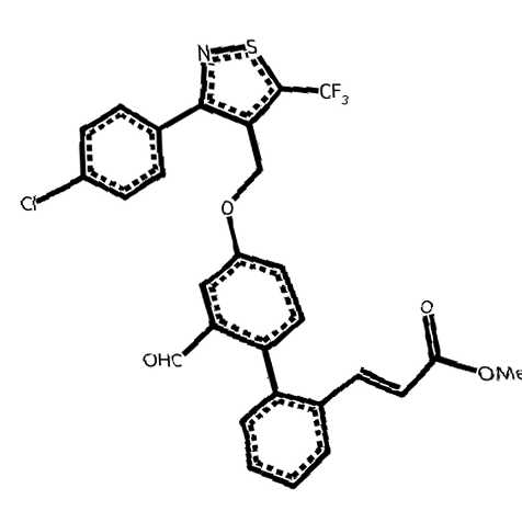 COC(=O)/C=C/c1ccccc1-c1ccc(OCc2c(-c3ccc(Cl)cc3)nsc2C(F)(F)F)cc1C=O